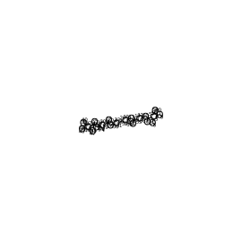 COc1cc(OC)c(C(=O)Oc2ccc(C(=O)Oc3ccc(-c4ccc(OC(=O)c5ccc(OC(=O)c6cc(OC)c(OC)cc6OC)nc5)cc4)cc3C)cc2)cc1OC